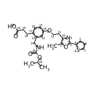 Cc1oc(-c2cccs2)nc1CCOc1ccc(CCC(=O)O)c(CNC(=O)OC(C)C)c1